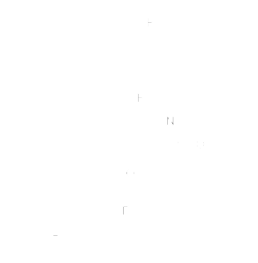 O=c1cc(OCc2ccc(F)cc2F)ccn1Cc1ccc(F)cc1F